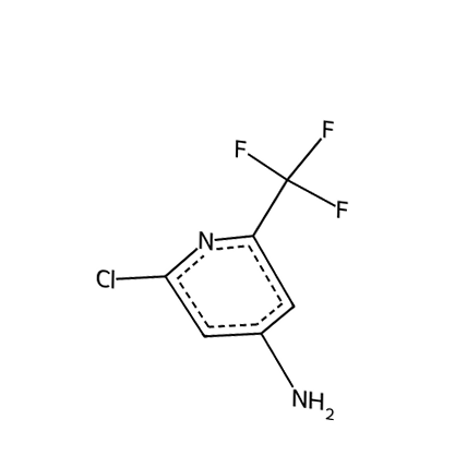 Nc1cc(Cl)nc(C(F)(F)F)c1